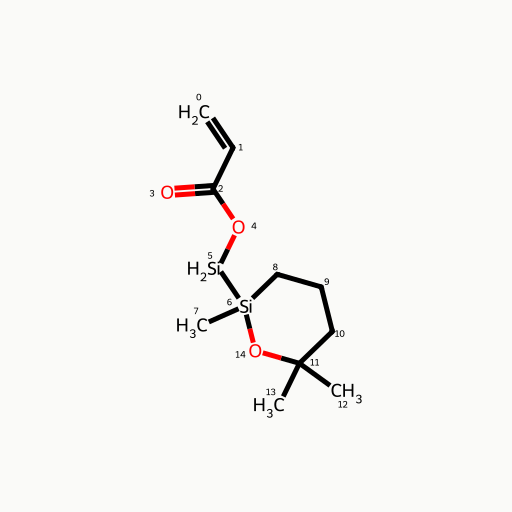 C=CC(=O)O[SiH2][Si]1(C)CCCC(C)(C)O1